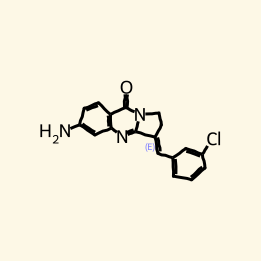 Nc1ccc2c(=O)n3c(nc2c1)/C(=C/c1cccc(Cl)c1)CC3